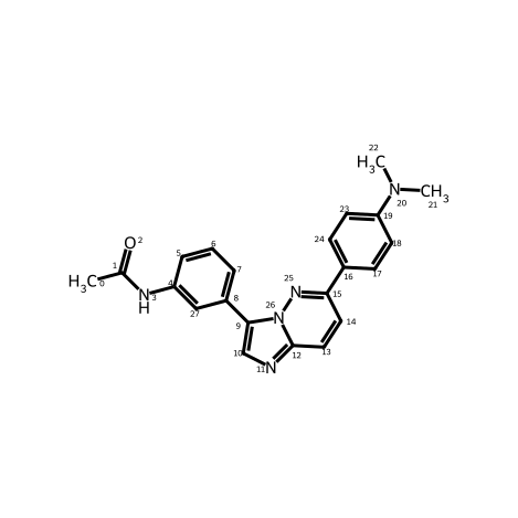 CC(=O)Nc1cccc(-c2cnc3ccc(-c4ccc(N(C)C)cc4)nn23)c1